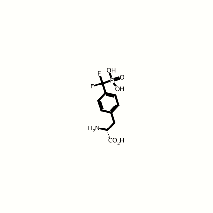 N[C@H](Cc1ccc(C(F)(F)P(=O)(O)O)cc1)C(=O)O